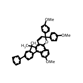 COc1ccc(C2(c3ccc(OC)cc3)C=Cc3c4c(c5cc(OC)ccc5c3O2)-c2ccc(-c3ccccc3)cc2C4(C)C)cc1